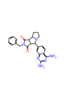 Nc1nc(N)c2ccc(C3C4C(=O)N(Cc5ccccc5)C(=O)C4C4CCCN43)cc2n1